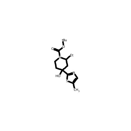 CCC1CC(O)(c2ncc(C)s2)CCN1C(=O)OC(C)(C)C